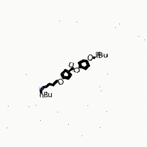 CCCC/C=C\CCCCOc1ccc(C(=O)Oc2ccc(OC[C@@H](C)CC)cc2)cc1